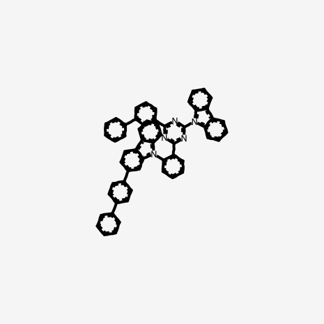 c1ccc(-c2ccc(-c3ccc4c5ccccc5n(-c5ccccc5-c5nc(-c6cccc(-c7ccccc7)c6)nc(-n6c7ccccc7c7ccccc76)n5)c4c3)cc2)cc1